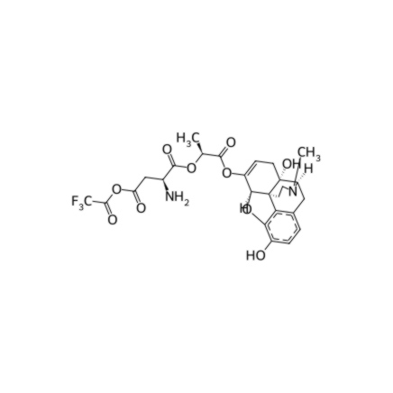 C[C@H](OC(=O)[C@@H](N)CC(=O)OC(=O)C(F)(F)F)C(=O)OC1=CC[C@@]2(O)[C@H]3Cc4ccc(O)c5c4[C@@]2(CCN3C)[C@H]1O5